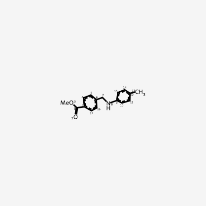 COC(=O)c1ccc(CNc2ccc(C)cc2)cc1